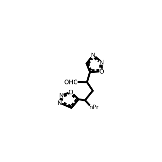 CCCC(CC(C=O)c1cnno1)c1cnno1